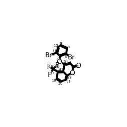 O=c1cc(Oc2c(Br)cccc2Br)c2c(C(F)(F)F)cccc2o1